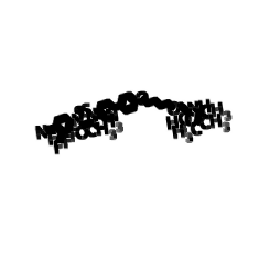 CC(NC(=O)COCCCCOc1ccc(-c2ccc(N3SSN(c4ccc(C#N)c(C(F)(F)F)c4F)C(=O)C3(C)C)cn2)cc1)C(C)(C)C